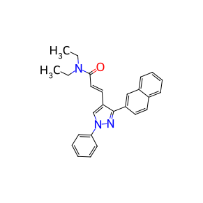 CCN(CC)C(=O)C=Cc1cn(-c2ccccc2)nc1-c1ccc2ccccc2c1